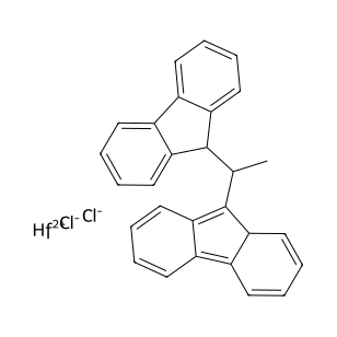 CC(C1=c2ccccc2=C2C=CC=CC21)C1c2ccccc2-c2ccccc21.[Cl-].[Cl-].[Hf+2]